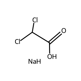 O=C(O)C(Cl)Cl.[NaH]